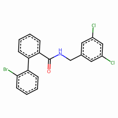 O=C(NCc1cc(Cl)cc(Cl)c1)c1ccccc1-c1ccccc1Br